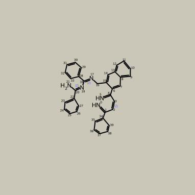 N=C(/C=C\C(=N)c1cc2ccccc2cc1C/N=C(\N=C(/N)c1ccccc1)c1ccccc1)c1ccccc1